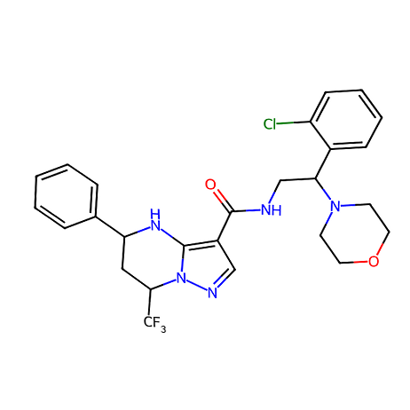 O=C(NCC(c1ccccc1Cl)N1CCOCC1)c1cnn2c1NC(c1ccccc1)CC2C(F)(F)F